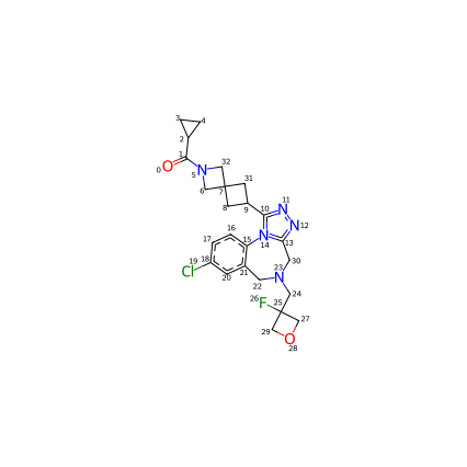 O=C(C1CC1)N1CC2(CC(c3nnc4n3-c3ccc(Cl)cc3CN(CC3(F)COC3)C4)C2)C1